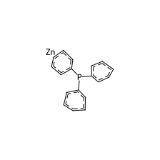 [Zn].c1ccc(P(c2ccccc2)c2ccccc2)cc1